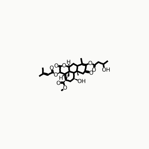 COC(=O)[C@@]12C[C@H](O)C3[C@@]4(C)CC(=O)C(OC(=O)CC(C)O)=C(C)C4C[C@H]4OC(=O)[C@H](OC(=O)C=C(C)C)[C@@H]1[C@@]34CO2